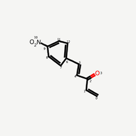 C=CC(=O)C=Cc1ccc([N+](=O)[O-])cc1